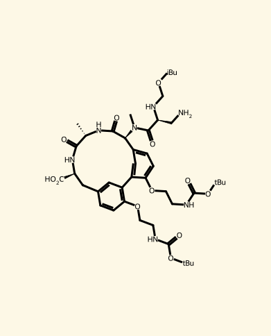 CCC(C)OCN[C@@H](CN)C(=O)N(C)[C@@H]1C(=O)N[C@@H](C)C(=O)N[C@H](C(=O)O)Cc2ccc(OCCNC(=O)OC(C)(C)C)c(c2)-c2cc1ccc2OCCNC(=O)OC(C)(C)C